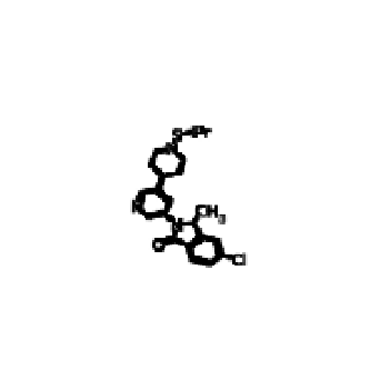 CC(C)SN1CCC(c2cncc(N3C(=O)c4ccc(Cl)cc4C3C)c2)CC1